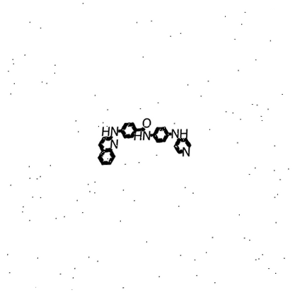 O=C(Nc1ccc(Nc2ccncc2)cc1)c1ccc(Nc2ccc3ccccc3n2)cc1